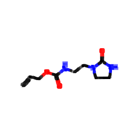 C=CCOC(=O)NCCN1CCNC1=O